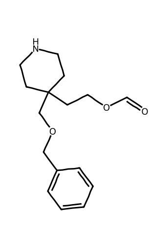 O=COCCC1(COCc2ccccc2)CCNCC1